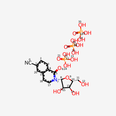 N#Cc1ccc2c(=O)n([C@@H]3O[C@H](CO)[C@@H](O)[C@H]3O)ccc2c1.O=P(O)(O)O.O=P(O)(O)O.O=P(O)(O)O